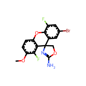 COc1ccc2c(c1F)C1(COC(N)=N1)c1cc(Br)cc(F)c1O2